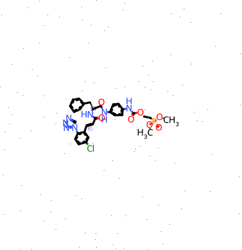 COP(=O)(CCOC(=O)Nc1ccc(NC(=O)[C@H](Cc2ccccc2)NC(=O)/C=C/c2cc(Cl)ccc2-n2cnnn2)cc1)OC